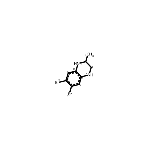 CC1CNc2cc(Br)c(Br)cc2N1